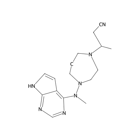 CC(CC#N)N1CCCN(N(C)c2ncnc3[nH]ccc23)CC1